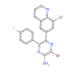 Nc1nc(-c2ccc(F)cc2)c(-c2cc(Cl)c3ncccc3c2)nc1Br